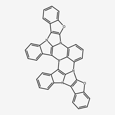 c1cc2c3c(c1)-n1c4oc5ccccc5c4n4c5ccccc5c(c14)B3c1c3ccccc3n3c4c5ccccc5oc4n-2c13